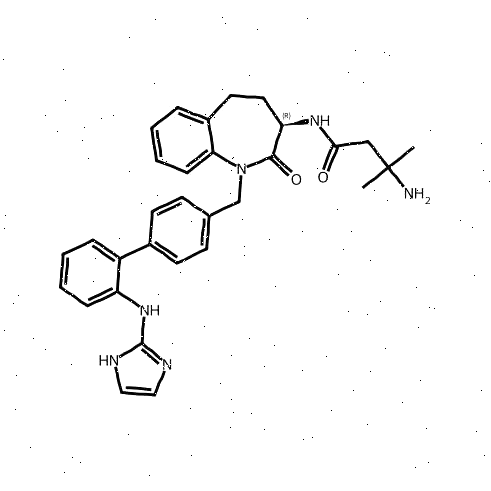 CC(C)(N)CC(=O)N[C@@H]1CCc2ccccc2N(Cc2ccc(-c3ccccc3Nc3ncc[nH]3)cc2)C1=O